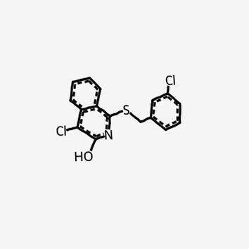 Oc1nc(SCc2cccc(Cl)c2)c2ccccc2c1Cl